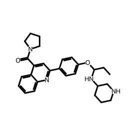 CCC(NC1CCCNC1)Oc1ccc(-c2cc(C(=O)N3CCCC3)c3ccccc3n2)cc1